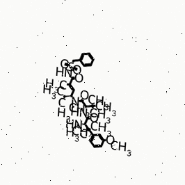 CN[C@@H](C(=O)N[C@H](C(=O)N(C)[C@H](/C=C(\C)C(=O)NS(=O)(=O)Cc1ccccc1)C(C)C)C(C)(C)C)C(C)(C)c1cccc(OC)c1